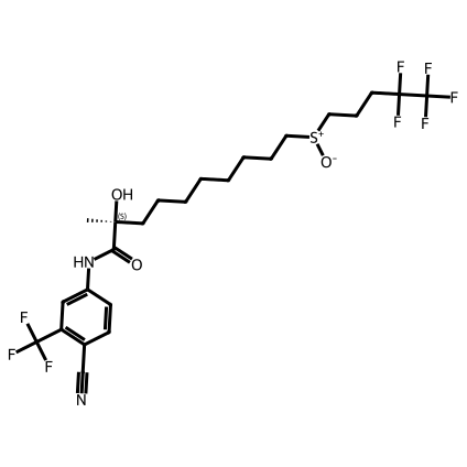 C[C@](O)(CCCCCCCC[S+]([O-])CCCC(F)(F)C(F)(F)F)C(=O)Nc1ccc(C#N)c(C(F)(F)F)c1